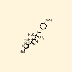 CO[C@H]1CC[C@H](CSC(C)(C)c2nnc(-c3cc(C(C)(C)C)nn3C)[nH]2)CC1